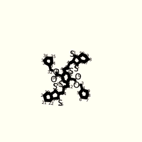 O=C(OCc1ccccc1)c1c2cc(C=C3C(=S)c4ccccc4C3=S)sc2c(C(=O)OCc2ccccc2)c2cc(C=C3C(=S)c4ccccc4C3=S)sc12